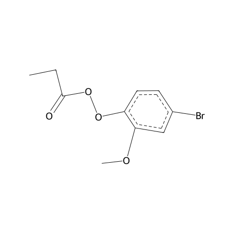 CCC(=O)OOc1ccc(Br)cc1OC